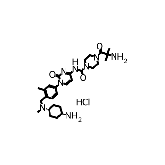 Cc1cc(-n2ccc(NC(=O)N3CCN(C(=O)C(C)(C)N)CC3)nc2=O)ccc1CN(C)[C@H]1CC[C@H](N)CC1.Cl